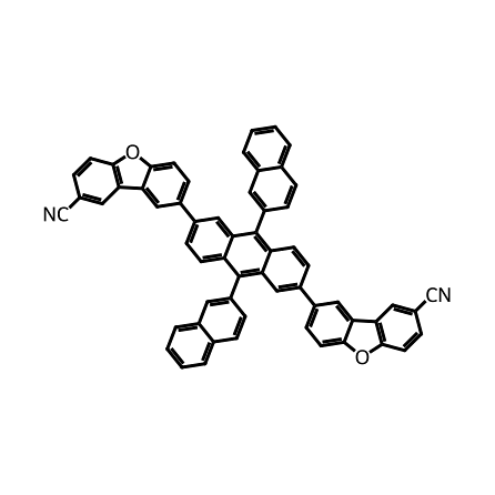 N#Cc1ccc2oc3ccc(-c4ccc5c(-c6ccc7ccccc7c6)c6cc(-c7ccc8oc9ccc(C#N)cc9c8c7)ccc6c(-c6ccc7ccccc7c6)c5c4)cc3c2c1